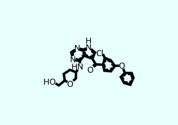 O=C(c1ccc(Oc2ccccc2)cc1Cl)c1c[nH]c2ncnc(NC3CCC(CO)OC3)c12